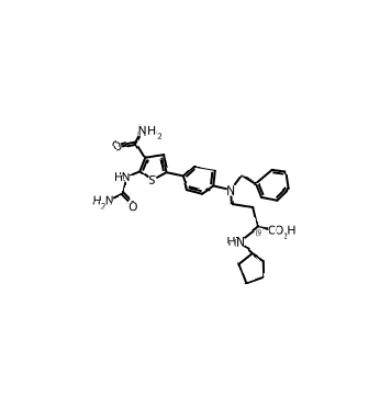 NC(=O)Nc1sc(-c2ccc(N(CC[C@H](NC3CCCC3)C(=O)O)Cc3ccccc3)cc2)cc1C(N)=O